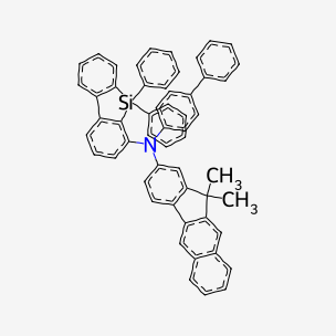 CC1(C)c2cc(N(c3ccc(-c4ccccc4)cc3)c3cccc4c3[Si](c3ccccc3)(c3ccccc3)c3ccccc3-4)ccc2-c2cc3ccccc3cc21